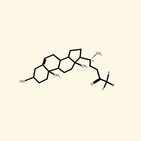 C[C@H](CCC(=O)C(F)(F)F)C1CCC2C3CC=C4CC(O)CCC4(C)C3CCC21C